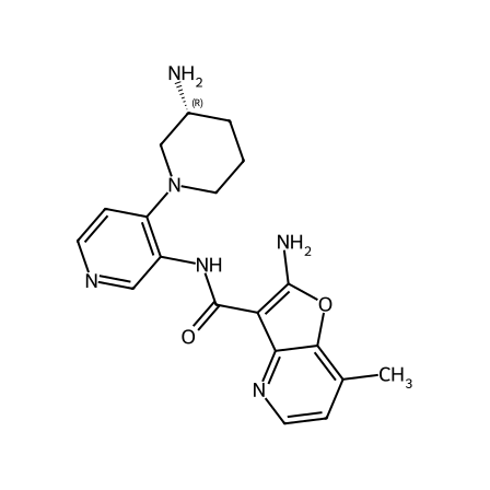 Cc1ccnc2c(C(=O)Nc3cnccc3N3CCC[C@@H](N)C3)c(N)oc12